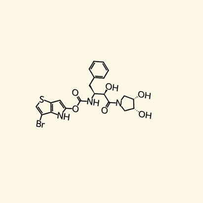 O=C(N[C@@H](Cc1ccccc1)[C@@H](O)C(=O)N1C[C@@H](O)[C@@H](O)C1)Oc1cc2scc(Br)c2[nH]1